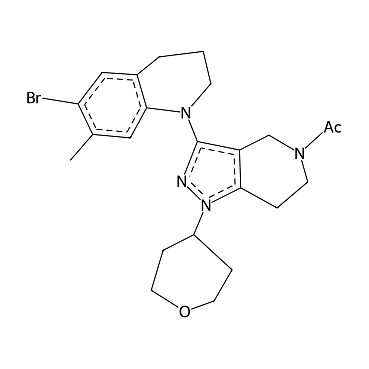 CC(=O)N1CCc2c(c(N3CCCc4cc(Br)c(C)cc43)nn2C2CCOCC2)C1